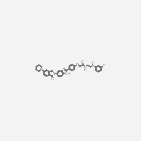 O=C(COc1ccc(-c2nc3cc(N4Cc5cc(N6CCCCC6)ccc5C4=O)ccc3[nH]2)cc1)NCCNc1cccc(F)c1